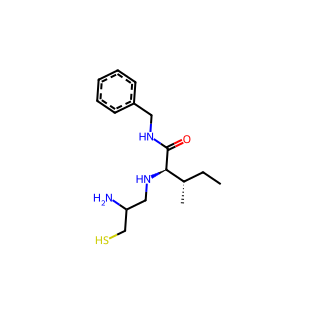 CC[C@H](C)[C@@H](NCC(N)CS)C(=O)NCc1ccccc1